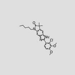 CCCCCN1C(=O)C(C)(C)c2cc3[nH]c(-c4ccc(OC)c(OC)c4Cl)nc3cc21